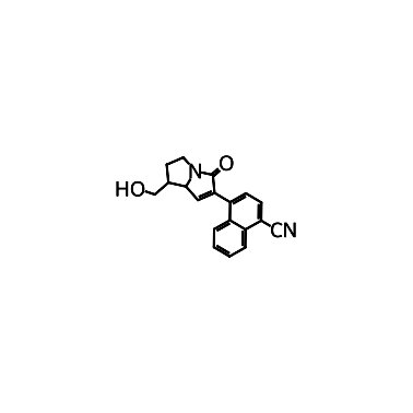 N#Cc1ccc(C2=CC3C(CO)CCN3C2=O)c2ccccc12